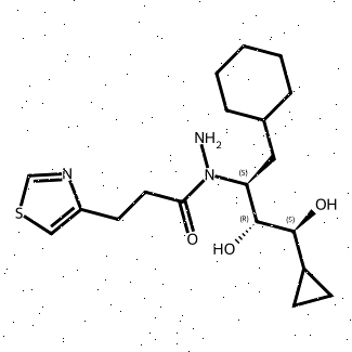 NN(C(=O)CCc1cscn1)[C@@H](CC1CCCCC1)[C@@H](O)[C@@H](O)C1CC1